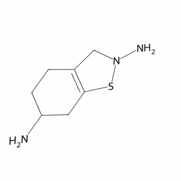 NC1CCC2=C(C1)SN(N)C2